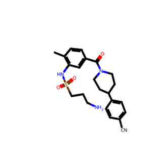 Cc1ccc(C(=O)N2CCC(c3ccc(C#N)cc3)CC2)cc1NS(=O)(=O)CCCN